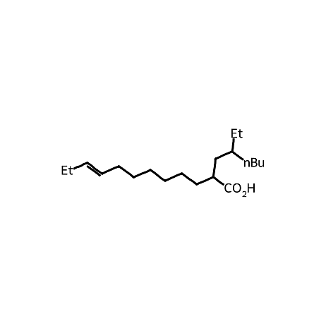 CC/C=C/CCCCCCC(CC(CC)CCCC)C(=O)O